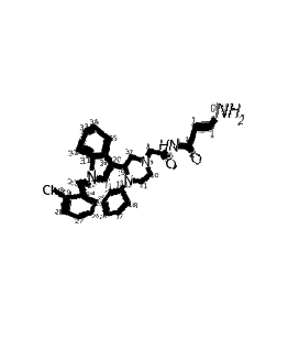 NCCC(=O)NC(=O)CN1CCN(c2ccccc2)C(c2cn(Cc3ccccc3Cl)c3ccccc23)C1